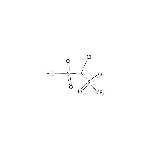 O=S(=O)(C(Cl)S(=O)(=O)C(F)(F)F)C(F)(F)F